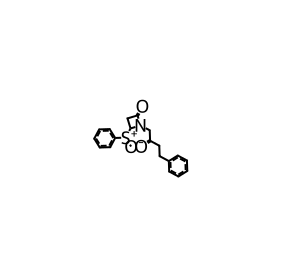 O=C(CCc1ccccc1)CN1C(=O)CC1[S+]([O-])c1ccccc1